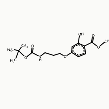 COC(=O)c1ccc(OCCCNC(=O)OC(C)(C)C)cc1O